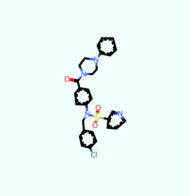 O=C(c1ccc(N(Cc2ccc(Cl)cc2)S(=O)(=O)c2cccnc2)cc1)N1CCN(c2ccccc2)CC1